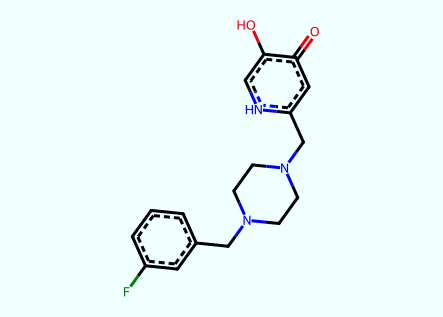 O=c1cc(CN2CCN(Cc3cccc(F)c3)CC2)[nH]cc1O